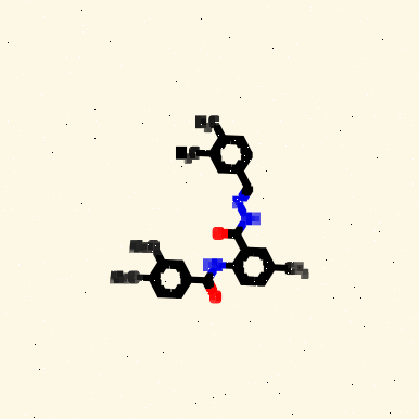 COc1ccc(C(=O)Nc2ccc(C)cc2C(=O)NN=Cc2ccc(C)c(C)c2)cc1OC